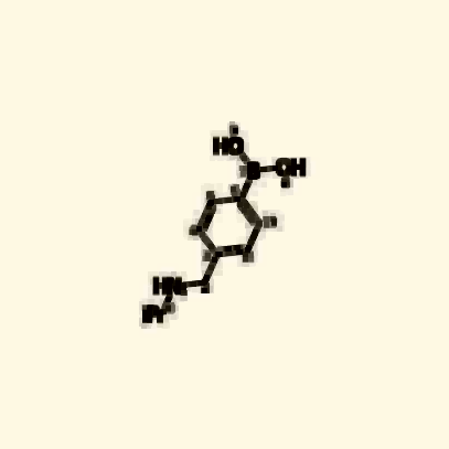 CC(C)NCc1ccc(B(O)O)cc1